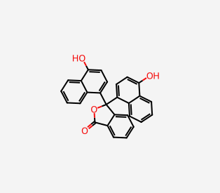 O=C1OC(c2ccc(O)c3ccccc23)(c2ccc(O)c3ccccc23)c2ccccc21